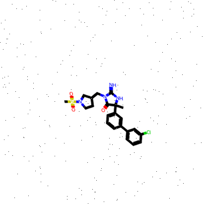 CC1(c2cccc(-c3cccc(Cl)c3)c2)NC(=N)N(CC2CCN(S(C)(=O)=O)C2)C1=O